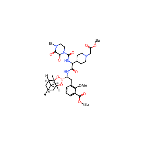 CCN1CCN(C(=O)NC(C(=O)NC(Cc2cccc(C(=O)OC(C)(C)C)c2OC)B2O[C@@H]3C[C@@H]4C[C@@H](C4(C)C)[C@]3(C)O2)C2CCN(CC(=O)OC(C)(C)C)CC2)C(=O)C1=O